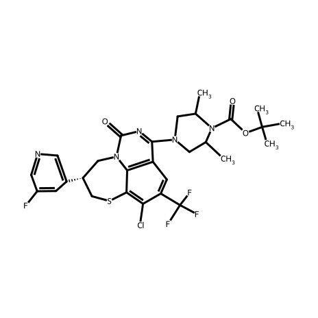 CC1CN(c2nc(=O)n3c4c(c(Cl)c(C(F)(F)F)cc24)SC[C@H](c2cncc(F)c2)C3)CC(C)N1C(=O)OC(C)(C)C